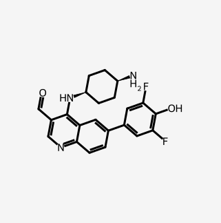 N[C@H]1CC[C@@H](Nc2c(C=O)cnc3ccc(-c4cc(F)c(O)c(F)c4)cc23)CC1